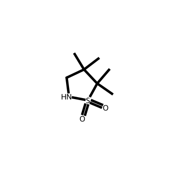 CC1(C)CNS(=O)(=O)C1(C)C